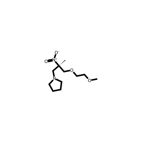 COCCOC[C@@](C)(CN1CCCC1)[N+](=O)[O-]